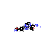 NC(=O)CC(n1ccc2cnc(Nc3ccc(-c4cnco4)cc3)nc21)C1(C(=O)O)CCC1